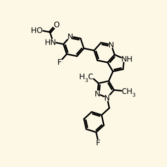 Cc1nn(Cc2cccc(F)c2)c(C)c1-c1c[nH]c2ncc(-c3cnc(NC(=O)O)c(F)c3)cc12